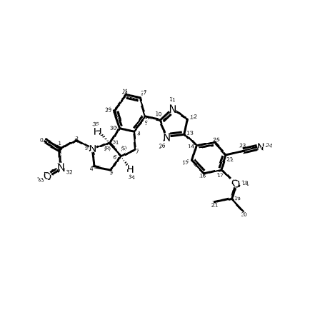 C=C(CN1CC[C@@H]2Cc3c(C4=NCC(c5ccc(OC(C)C)c(C#N)c5)=N4)cccc3[C@@H]21)N=O